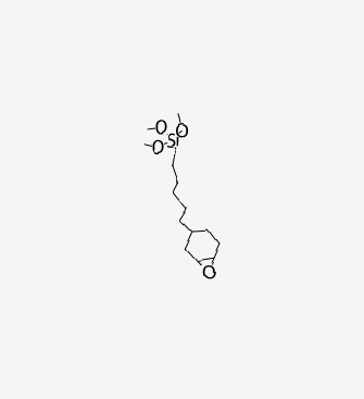 CO[Si](CCCCCCC1CCC2OC2C1)(OC)OC